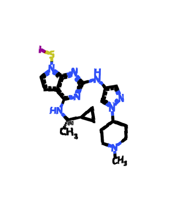 C[C@H](Nc1nc(Nc2cnn(C3CCN(C)CC3)c2)nc2c1ccn2SI)C1CC1